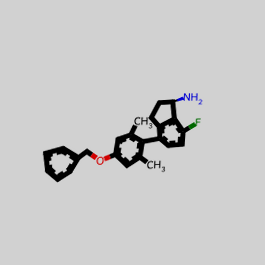 Cc1cc(OCc2ccccc2)cc(C)c1-c1ccc(F)c2c1CC[C@H]2N